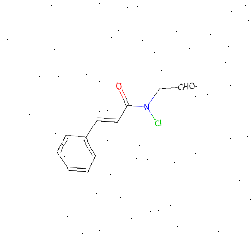 O=[C]CN(Cl)C(=O)C=Cc1ccccc1